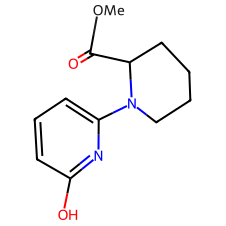 COC(=O)C1CCCCN1c1cccc(O)n1